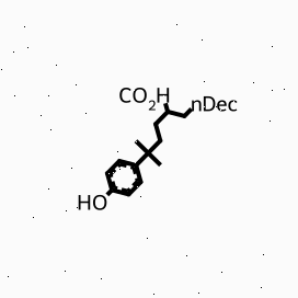 CCCCCCCCCCCC(CCC(C)(C)c1ccc(O)cc1)C(=O)O